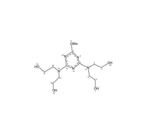 COc1nc(N(CCO)CCO)nc(N(CCO)CCO)n1